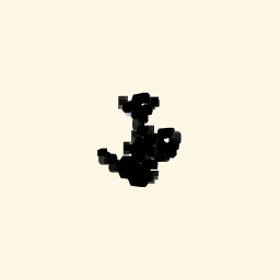 CCc1c(F)ccc2cc(OCOC)cc(-c3nc(OC)c4c(N5CCOCC(C)(O)C5)nc(OCC5(C)CN(C)CC/C5=C\F)nc4c3F)c12